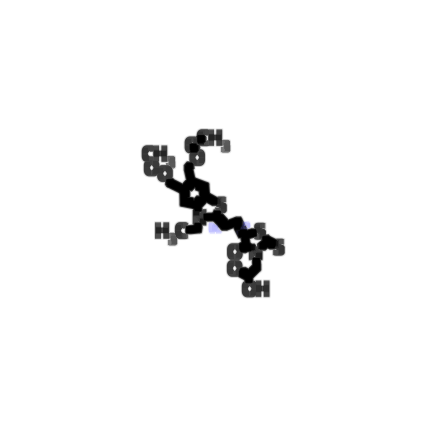 CCN1/C(=C/C=C2/SC(=S)N(CC(=O)O)C2=O)Sc2cc(COOC)c(COOC)cc21